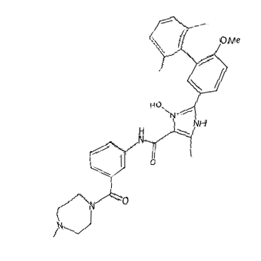 COc1ccc(-c2[nH]c(C)c(C(=O)Nc3cccc(C(=O)N4CCN(C)CC4)c3)[n+]2O)cc1-c1c(C)cccc1C